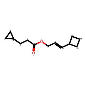 O=C(CCC1CC1)OC/C=C/C1CCC1